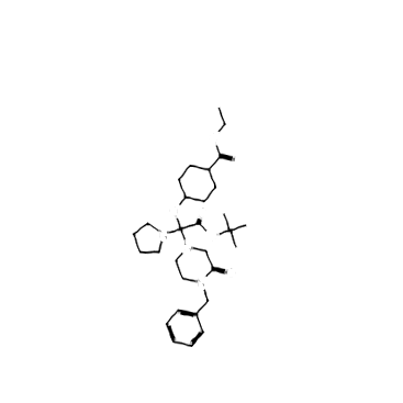 CCOC(=O)C1CCC(OC(C(=O)OC(C)(C)C)(N2CCCC2)N2CCN(Cc3ccccc3)C(=O)C2)CC1